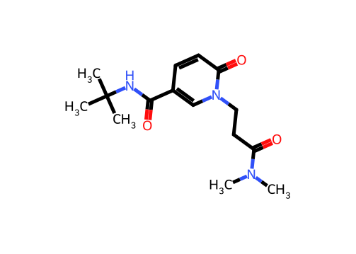 CN(C)C(=O)CCn1cc(C(=O)NC(C)(C)C)ccc1=O